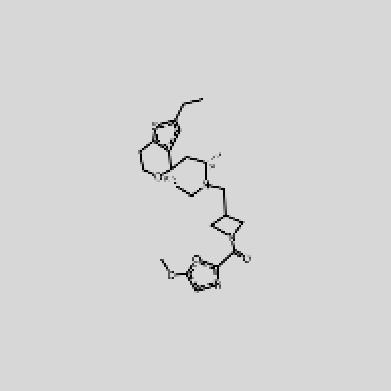 CCc1cc2c(s1)CCO[C@@]21CCN(CC2CN(C(=O)c3ncc(OC)o3)C2)[C@@H](C)C1